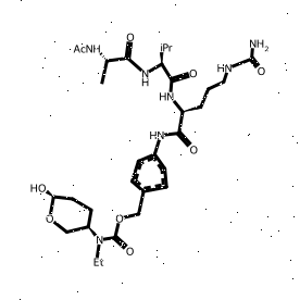 CCN(C(=O)OCc1ccc(NC(=O)[C@H](CCCNC(N)=O)NC(=O)[C@@H](NC(=O)[C@H](C)NC(C)=O)C(C)C)cc1)[C@@H]1CC[C@H](O)OC1